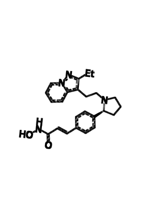 CCc1nn2ccccc2c1CCN1CCC[C@H]1c1ccc(C=CC(=O)NO)cc1